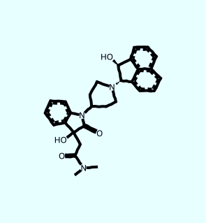 CN(C)C(=O)CC1(O)C(=O)N(C2CCN([C@H]3c4cccc5cccc(c45)[C@@H]3O)CC2)c2ccccc21